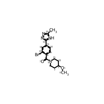 COC1CCN(C(=O)c2ccc(-c3nnc(C)[nH]3)cc2Br)CC1